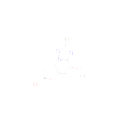 COc1cc(OC(=O)O)cn2nc(Br)nc12